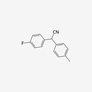 Cc1ccc(C(C#N)c2ccc(F)cc2)cc1